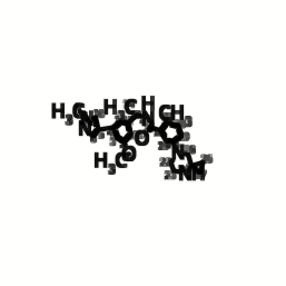 COc1cc(-c2cnn(C)c2)cc([C@@H](C)NC(=O)c2cc(N3CCNC4(CC4)C3)ccc2C)c1